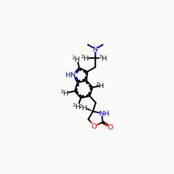 [2H]c1[nH]c2c([2H])c([2H])c(C[C@@]3([2H])COC(=O)N3)c([2H])c2c1CC([2H])([2H])N(C)C